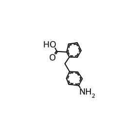 Nc1ccc(Cc2ccccc2C(=O)O)cc1